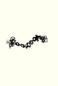 CC1(C)c2ccc(C3CCN(C4CCC(CN5CCC(c6ccc(NC7CCC(=O)NC7=O)cc6)CC5)CC4)CC3)cc2-n2c1nc(=O)c1c(Cl)cccc12